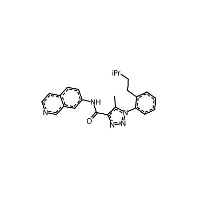 Cc1c(C(=O)Nc2ccc3ccncc3c2)nnn1-c1ccccc1CCC(C)C